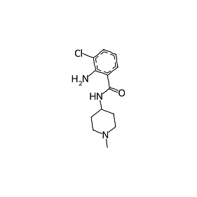 CN1CCC(NC(=O)c2cccc(Cl)c2N)CC1